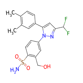 Cc1ccc(-c2cc(C(F)F)nn2-c2ccc(S(N)(=O)=O)c(CO)c2)cc1C